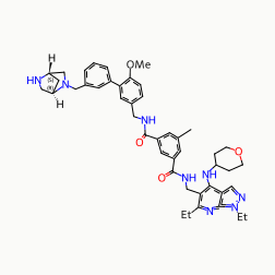 CCc1nc2c(cnn2CC)c(NC2CCOCC2)c1CNC(=O)c1cc(C)cc(C(=O)NCc2ccc(OC)c(-c3cccc(CN4C[C@@H]5C[C@@H]4CN5)c3)c2)c1